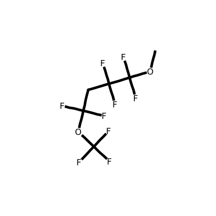 COC(F)(F)C(F)(F)CC(F)(F)OC(F)(F)F